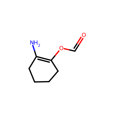 NC1=C(OC=O)CCCC1